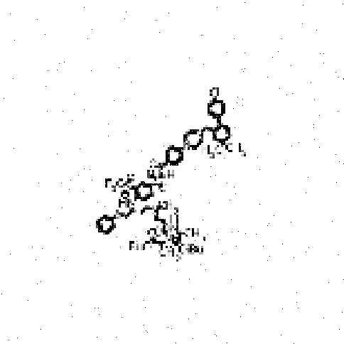 CC(C)COC(=O)[C@H](C)NP(=O)(CCN(C)CC[C@H](CSc1ccccc1)Nc1ccc(S(=O)(=O)NC(=O)c2ccc(N3CCN(CC4=C(c5ccc(Cl)cc5)CCC(C)(C)C4)CC3)cc2)cc1S(=O)(=O)C(F)(F)F)N[C@@H](C)C(=O)OCC(C)C